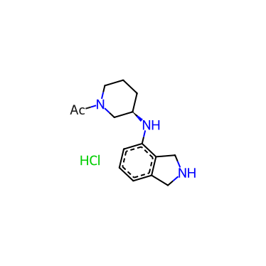 CC(=O)N1CCC[C@@H](Nc2cccc3c2CNC3)C1.Cl